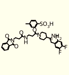 Cc1ccc(S(=O)(=O)O)cc1.N[C@H](Cc1cc(F)c(F)cc1F)C1CCN(C(=O)CCNC(=O)CCN2C(=O)c3ccccc3C2=O)CC1